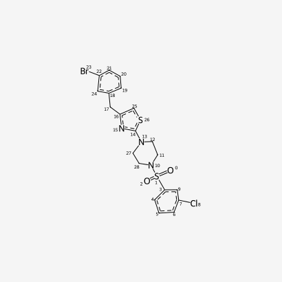 O=S(=O)(c1cccc(Cl)c1)N1CCN(c2nc(Cc3cccc(Br)c3)cs2)CC1